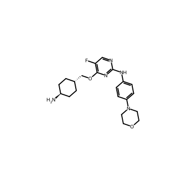 N[C@H]1CC[C@H](COc2nc(Nc3ccc(N4CCOCC4)cc3)ncc2F)CC1